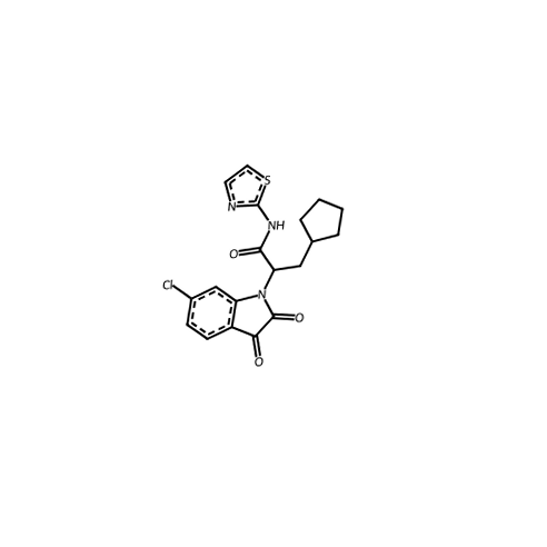 O=C1C(=O)N(C(CC2CCCC2)C(=O)Nc2nccs2)c2cc(Cl)ccc21